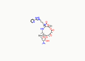 CC[C@H]1OC(=O)C(C)C(=O)[C@@H](C)[C@@H](O[C@@H]2OC(C)CC(N(C)C)C2O)[C@](C)(OC)C[C@@H](C)CN[C@H](C)[C@H]2N(CCCCn3cc(-c4ccccn4)nn3)C(=O)O[C@]12C